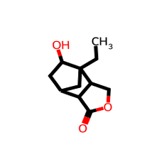 CCC12CC(CC1O)C1C(=O)OCC12